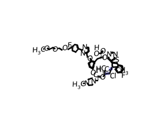 C#C/C1=C(Cl)\C(C)=C(/CC)c2c(-c3ccc(F)cc3)sc3ncnc(c23)O[C@@H](C(=O)O)Cc2cc(ccc2OCc2ccnc(C3=CC[C@@](F)(COCCOCCOC)CC3)n2)OC[C@@H](CN2CCN(C)CC2)O1